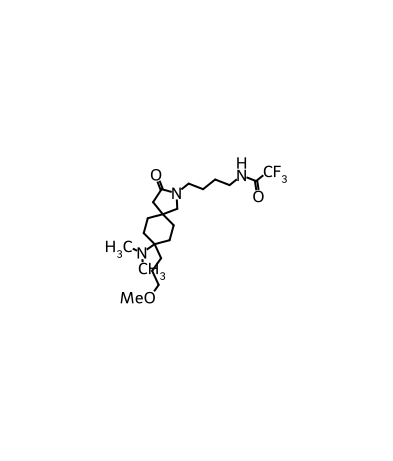 COCCCC1(N(C)C)CCC2(CC1)CC(=O)N(CCCCNC(=O)C(F)(F)F)C2